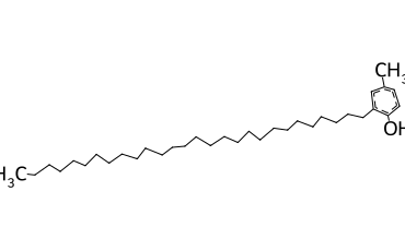 CCCCCCCCCCCCCCCCCCCCCCCCCCCCc1cc(C)ccc1O